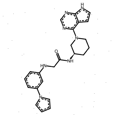 O=C(CNc1cccc(-n2cccc2)c1)N[C@@H]1CCCN(c2ncnc3[nH]ccc23)C1